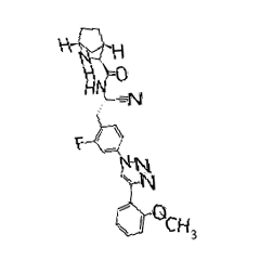 COc1ccccc1-c1cn(-c2ccc(C[C@@H](C#N)NC(=O)[C@H]3N[C@@H]4CC[C@H]3C4)c(F)c2)nn1